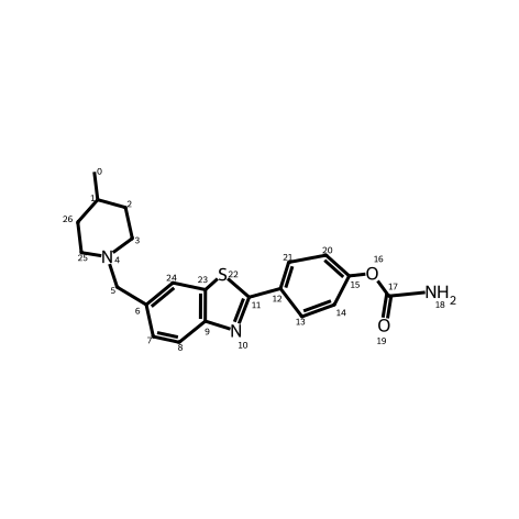 CC1CCN(Cc2ccc3nc(-c4ccc(OC(N)=O)cc4)sc3c2)CC1